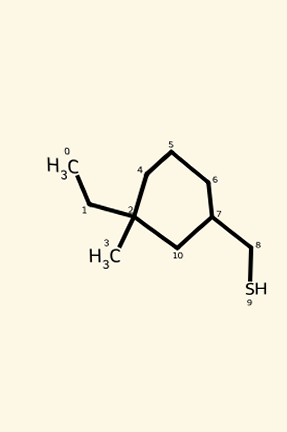 CCC1(C)CCCC(CS)C1